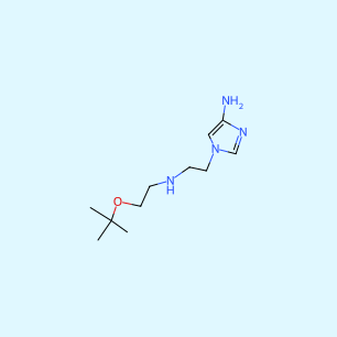 CC(C)(C)OCCNCCn1cnc(N)c1